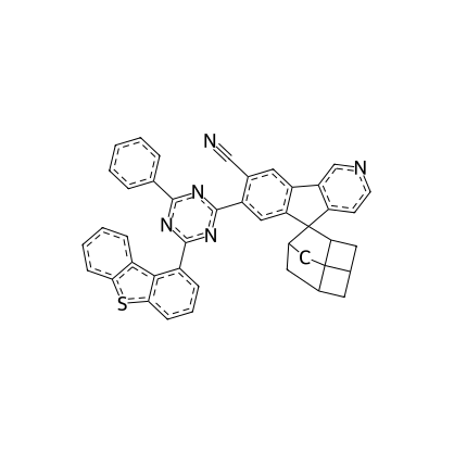 N#Cc1cc2c(cc1-c1nc(-c3ccccc3)nc(-c3cccc4sc5ccccc5c34)n1)C1(c3ccncc3-2)C2CC3CC4CC1C34C2